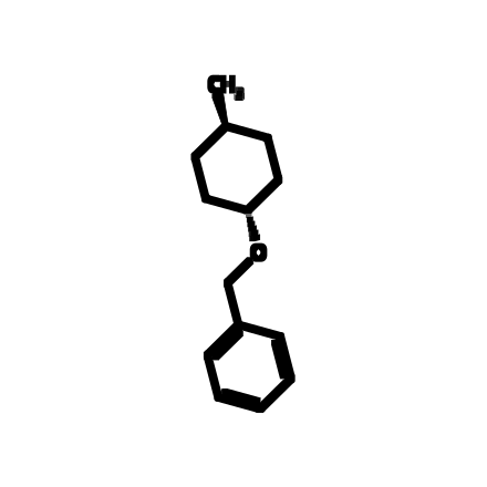 C[C@H]1CC[C@H](OCc2ccccc2)CC1